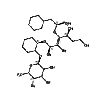 O=C(O)[C@H](CC1CCCCC1)O/C(=C(/O)[C@@H](O)O[C@@H]1CCCCC1O[C@@H]1OC(C(F)(F)F)[C@@H](O)C(O)C1O)[C@@H](O)CCO